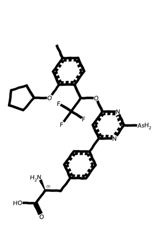 Cc1ccc(C(Oc2cc(-c3ccc(C[C@H](N)C(=O)O)cc3)nc([AsH2])n2)C(F)(F)F)c(OC2CCCC2)c1